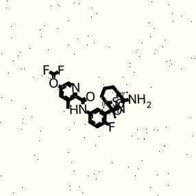 Cc1cc(OC(F)F)cnc1C(=O)Nc1ccc(F)c([C@@]2(C)N=C(N)[C@]3(C)CCC[C@@]2(C)S3(=O)=O)c1